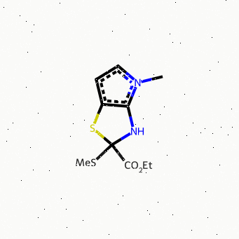 CCOC(=O)C1(SC)Nc2c(ccn2C)S1